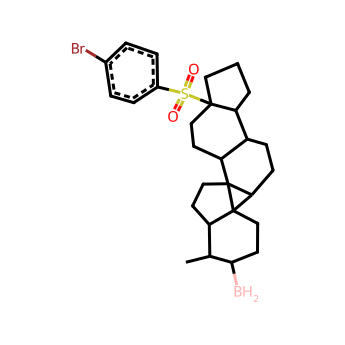 BC1CCC23C(CCC24C2CCC5(S(=O)(=O)c6ccc(Br)cc6)CCCC5C2CCC34)C1C